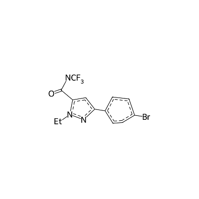 CCn1nc(-c2ccc(Br)cc2)cc1C(=O)NC(F)(F)F